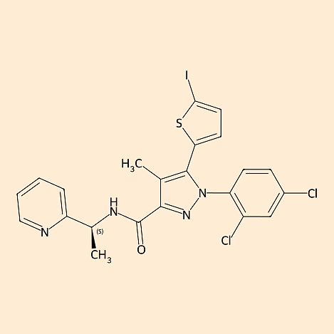 Cc1c(C(=O)N[C@@H](C)c2ccccn2)nn(-c2ccc(Cl)cc2Cl)c1-c1ccc(I)s1